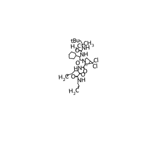 C=CCCC(NC(=O)[C@@H]1C2C(CN1C(=O)C(NC(=O)NC(C)(C)CC(C)(C)C)C1CCCCC1)C2(Cl)Cl)C(=O)C(=O)NCC=C